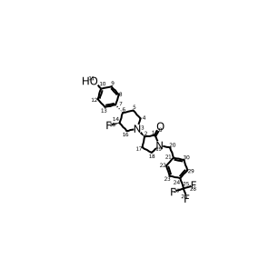 O=C1[C@H](N2CC[C@@H](c3ccc(O)cc3)[C@H](F)C2)CCN1Cc1ccc(C(F)(F)F)cc1